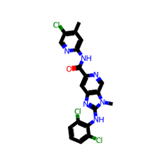 Cc1cc(NC(=O)c2cc3nc(Nc4c(Cl)cccc4Cl)n(C)c3cn2)ncc1Cl